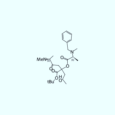 CN[C@@H](C)C(=O)CC(CC(C)O)(OC(=O)[C@H](C)N(C)Cc1ccccc1)C(=O)OC(C)(C)C